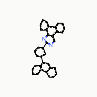 c1cc(-c2ncc3c4ccccc4c4ccccc4c3n2)cc(-c2cc3ccccc3c3ccccc23)c1